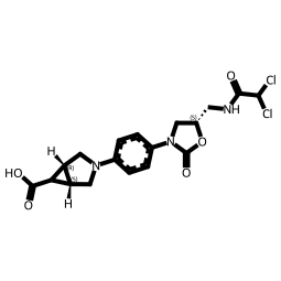 O=C(NC[C@H]1CN(c2ccc(N3C[C@@H]4C(C(=O)O)[C@@H]4C3)cc2)C(=O)O1)C(Cl)Cl